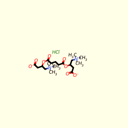 C[N+](C)(C)CC(CC(=O)[O-])OC(=O)CCCC(=O)OC(CC(=O)[O-])C[N+](C)(C)C.Cl